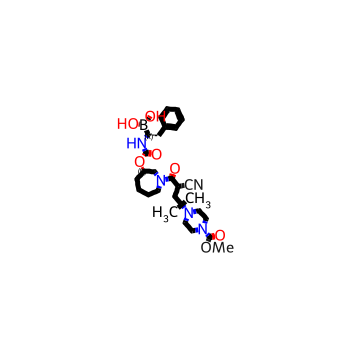 COC(=O)N1CCN(C(C)(C)CC(C#N)C(=O)N2CCCC[C@@H](OC(=O)N[C@@H](Cc3ccccc3)B(O)O)C2)CC1